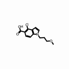 COCCCn1ccc2c(Cl)c(C(=O)O)ccc21